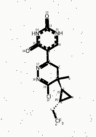 CC1([C@H]2C[C@@H]2CC(F)(F)F)CC(c2c[nH]c(=O)[nH]c2=O)=NN=C1Cl